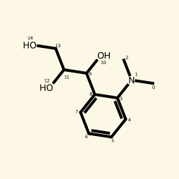 CN(C)c1ccccc1C(O)C(O)CO